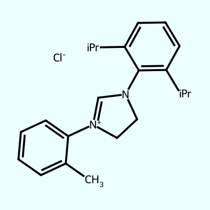 Cc1ccccc1[N+]1=CN(c2c(C(C)C)cccc2C(C)C)CC1.[Cl-]